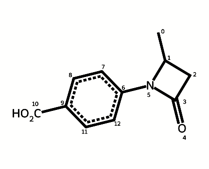 CC1CC(=O)N1c1ccc(C(=O)O)cc1